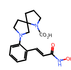 O=C(/C=C/c1ccccc1N1CCC2(CCCN2C(=O)O)C1)NO